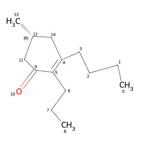 CCCCC1=C(CCC)C(=O)C[C@H](C)C1